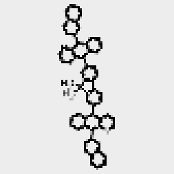 CC1(C)c2cc(-c3c4ccccc4c(-c4ccc5ccccc5c4)c4ncccc34)ccc2-c2ccc(-c3c4ccccc4c(-c4ccc5ccccc5c4)c4ncccc34)cc21